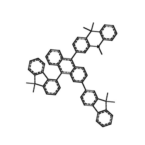 CN1c2ccccc2C(C)(C)c2ccc(-c3c4ccccc4c(-c4cccc5c4-c4ccccc4C5(C)C)c4cc(-c5ccc6c(c5)C(C)(C)c5ccccc5-6)ccc34)cc21